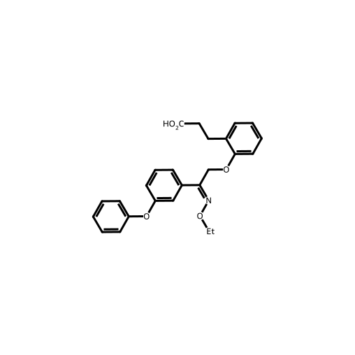 CCON=C(COc1ccccc1CCC(=O)O)c1cccc(Oc2ccccc2)c1